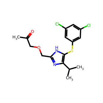 CC(=O)COCc1nc(C(C)C)c(Sc2cc(Cl)cc(Cl)c2)[nH]1